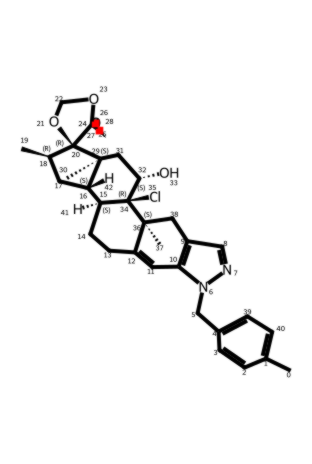 Cc1ccc(Cn2ncc3c2C=C2CC[C@H]4[C@@H]5C[C@@H](C)[C@@]6(OCOC67COCO7)[C@@]5(C)C[C@H](O)[C@]4(Cl)[C@@]2(C)C3)cc1